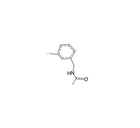 [CH2]c1cccc(CNC(C)=O)c1